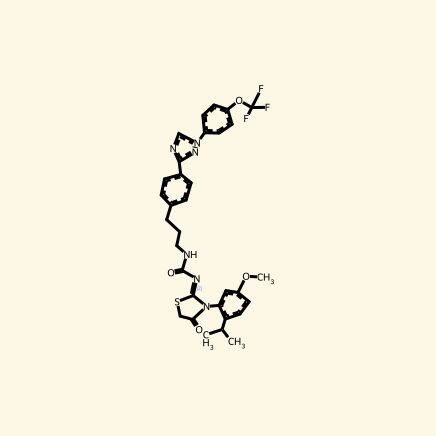 COc1ccc(C(C)C)c(N2C(=O)CS/C2=N\C(=O)NCCCc2ccc(-c3ncn(-c4ccc(OC(F)(F)F)cc4)n3)cc2)c1